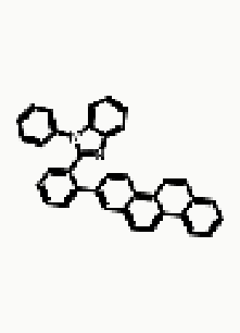 c1ccc(-n2c(-c3ccccc3-c3ccc4c(ccc5c6ccccc6ccc45)c3)nc3ccccc32)cc1